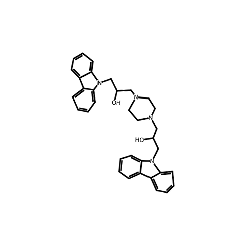 OC(CN1CCN(CC(O)Cn2c3ccccc3c3ccccc32)CC1)Cn1c2ccccc2c2ccccc21